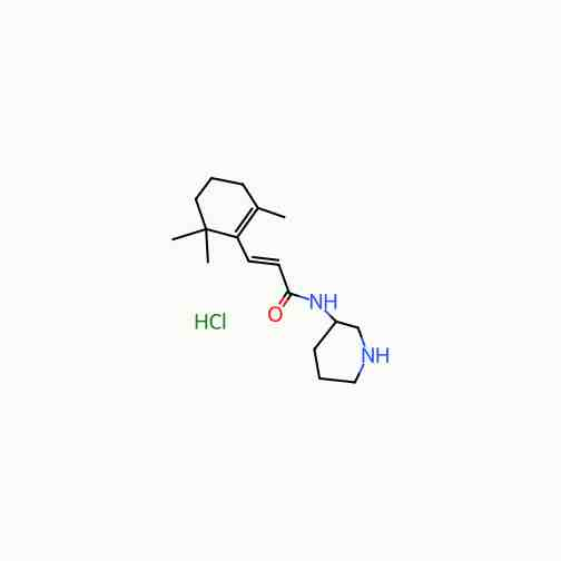 CC1=C(/C=C/C(=O)NC2CCCNC2)C(C)(C)CCC1.Cl